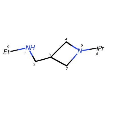 CCNCC1CN(C(C)C)C1